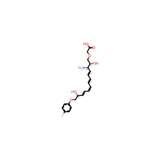 N[C@H](/C=C/C=C/C=C\C=C\[C@H](O)COc1ccc(F)cc1)[C@H](O)COCC(=O)O